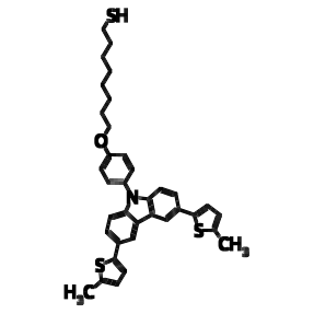 Cc1ccc(-c2ccc3c(c2)c2cc(-c4ccc(C)s4)ccc2n3-c2ccc(OCCCCCCCCS)cc2)s1